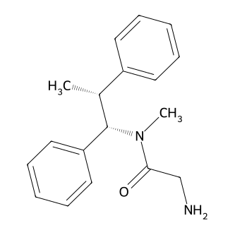 C[C@H](c1ccccc1)[C@@H](c1ccccc1)N(C)C(=O)CN